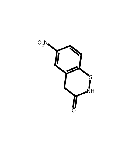 O=C1Cc2cc([N+](=O)[O-])ccc2SN1